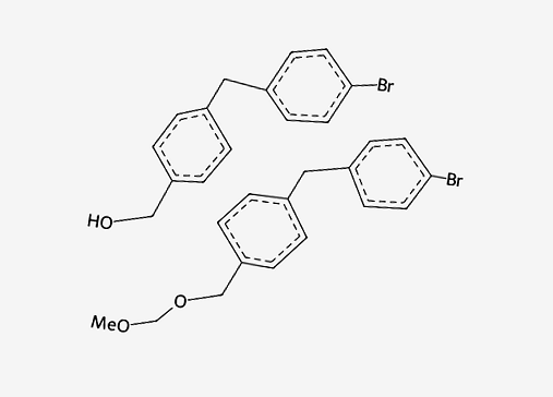 COCOCc1ccc(Cc2ccc(Br)cc2)cc1.OCc1ccc(Cc2ccc(Br)cc2)cc1